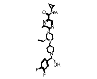 CC[C@H]1CN(c2ncc(C(=O)NC3CC3)nc2C)CCN1C1CCN([C@H](CO)c2ccc(F)c(F)c2)CC1